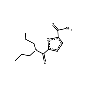 CCCN(CCC)C(=O)c1ccc(C(N)=O)o1